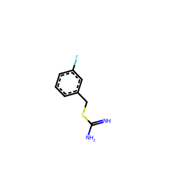 N=C(N)SCc1cccc(F)c1